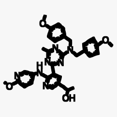 COc1ccc(CN(Cc2ccc(OC)cc2)c2nc(C)nc(-c3cc(C(C)O)cnc3Nc3ccc(OC)nc3)n2)cc1